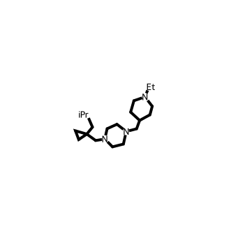 CCN1CCC(CN2CCN(CC3(CC(C)C)CC3)CC2)CC1